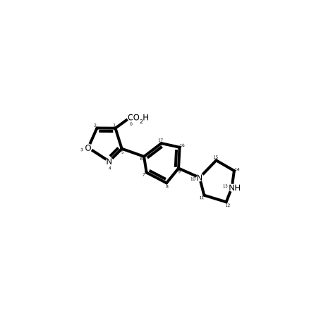 O=C(O)c1conc1-c1ccc(N2CCNCC2)cc1